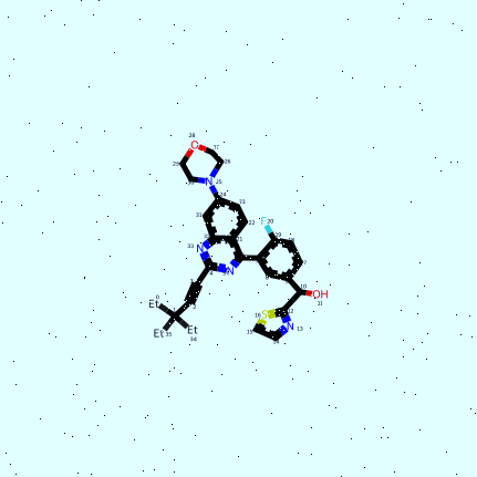 CCC(C#Cc1nc(-c2cc(C(O)c3nccs3)ccc2F)c2ccc(N3CCOCC3)cc2n1)(CC)CC